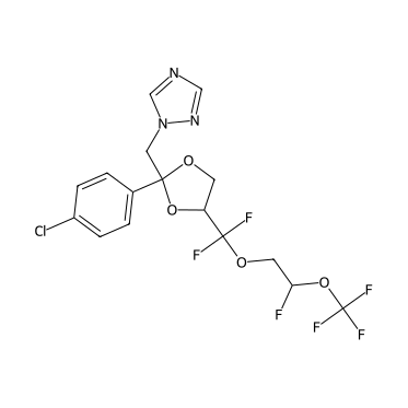 FC(COC(F)(F)C1COC(Cn2cncn2)(c2ccc(Cl)cc2)O1)OC(F)(F)F